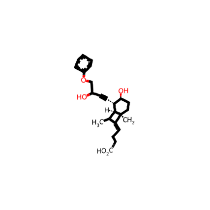 CC1C(=CCCC(=O)O)[C@]2(C)CC[C@H](O)[C@@H](C#CC(O)COc3ccccc3)[C@H]12